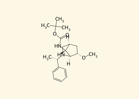 CO[C@H]1C[C@@H]2CN([C@@H](C)c3ccccc3)[C@H]1[C@@H]2NC(=O)OC(C)(C)C